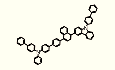 c1ccc(-c2ccc(N(c3ccccc3)c3ccc(-c4ccc(-c5ccc(-c6ccc7c(c6)c6ccccc6n7-c6ccc(-c7ccccc7)cc6)c6ccccc56)cc4)cc3)cc2)cc1